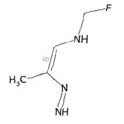 C/C(=C/NCF)N=N